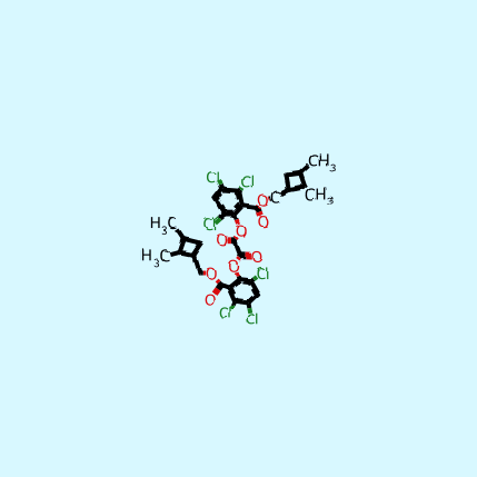 CC1CC(COC(=O)c2c(Cl)c(Cl)cc(Cl)c2OC(=O)C(=O)Oc2c(Cl)cc(Cl)c(Cl)c2C(=O)OCC2CC(C)C2C)C1C